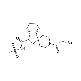 CC(C)(C)OC(=O)N1CCC2(CC1)CC(C(=O)NS(C)(=O)=O)c1ccccc12